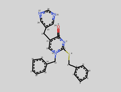 O=c1nc(SCc2ccccc2)n(Cc2ccccc2)cc1Cc1cncnc1